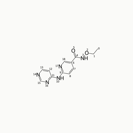 CCONC(=O)c1ccc(Nc2ccncn2)nc1